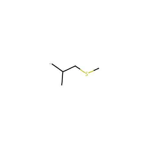 [CH2]C(C)CSC